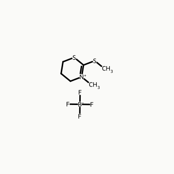 CSC1=[N+](C)CCCS1.F[B-](F)(F)F